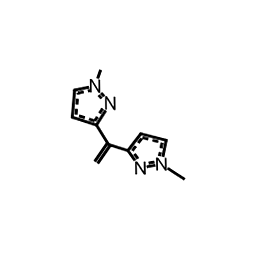 C=C(c1ccn(C)n1)c1ccn(C)n1